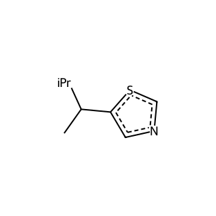 CC(C)C(C)c1cncs1